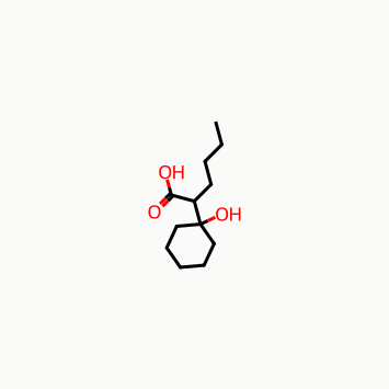 CCCCC(C(=O)O)C1(O)CCCCC1